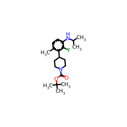 Cc1ccc(NC(C)C)c(F)c1C1CCN(C(=O)OC(C)(C)C)CC1